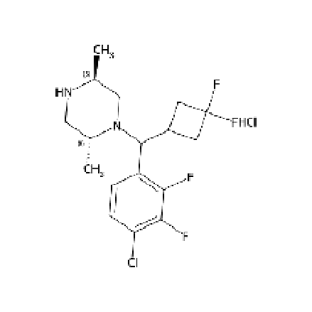 C[C@@H]1CN[C@@H](C)CN1C(c1ccc(Cl)c(F)c1F)C1CC(F)(F)C1.Cl